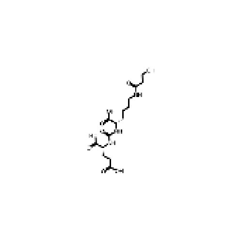 O=C(O)CC[C@H](NC(=O)N[C@@H](CCCCNC(=O)CCO)C(=O)O)C(=O)O